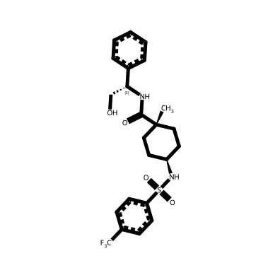 C[C@]1(C(=O)N[C@H](CO)c2ccccc2)CC[C@H](NS(=O)(=O)c2ccc(C(F)(F)F)cc2)CC1